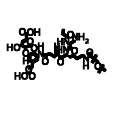 CCC(=O)NC(CN)C(=O)N[C@@H](CCCCNC(=O)C(C)(C)COC(C)(C)C)C(=O)NCCC(=O)Nc1cc(COC(=O)O)ccc1OC1OC(C(=O)O)=C[C@H](O)[C@H]1O